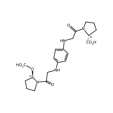 O=C(O)O[C@@H]1CCCN1C(=O)CNc1ccc(NCC(=O)N2CCC[C@@H]2C(=O)O)cc1